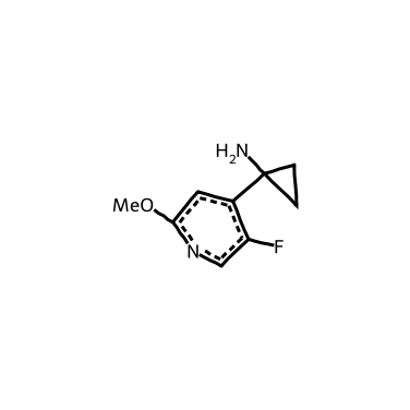 COc1cc(C2(N)CC2)c(F)cn1